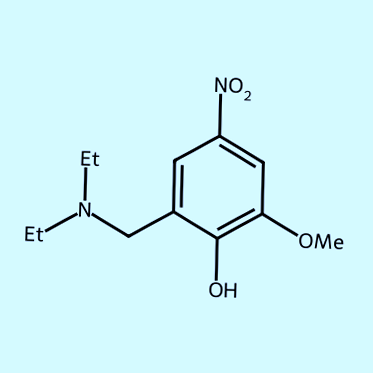 CCN(CC)Cc1cc([N+](=O)[O-])cc(OC)c1O